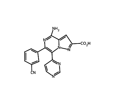 N#Cc1cccc(-c2nc(N)c3cc(C(=O)O)nn3c2-c2ccncn2)c1